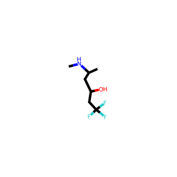 CNC(C)CC(O)CC(F)(F)F